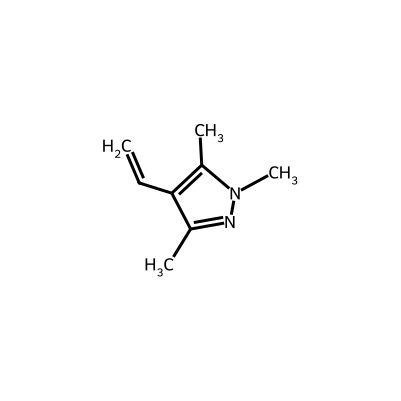 C=Cc1c(C)nn(C)c1C